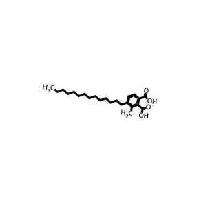 CCCCCCCCCCCCCCc1ccc(C(=O)O)c(C(=O)O)c1C